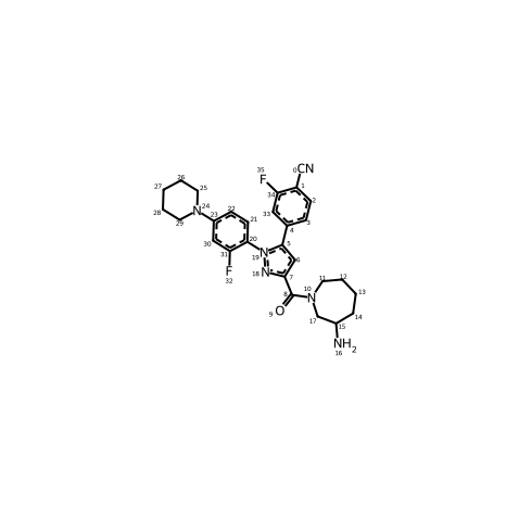 N#Cc1ccc(-c2cc(C(=O)N3CCCCC(N)C3)nn2-c2ccc(N3CCCCC3)cc2F)cc1F